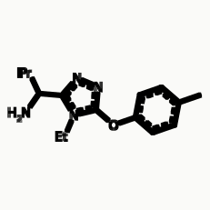 CCn1c(Oc2ccc(C)cc2)nnc1C(N)C(C)C